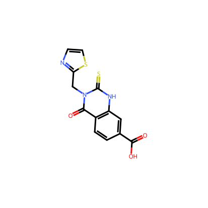 O=C(O)c1ccc2c(=O)n(Cc3nccs3)c(=S)[nH]c2c1